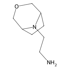 NCCN1C2CCC1COC2